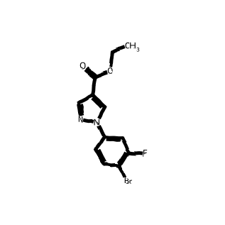 CCOC(=O)c1cnn(-c2ccc(Br)c(F)c2)c1